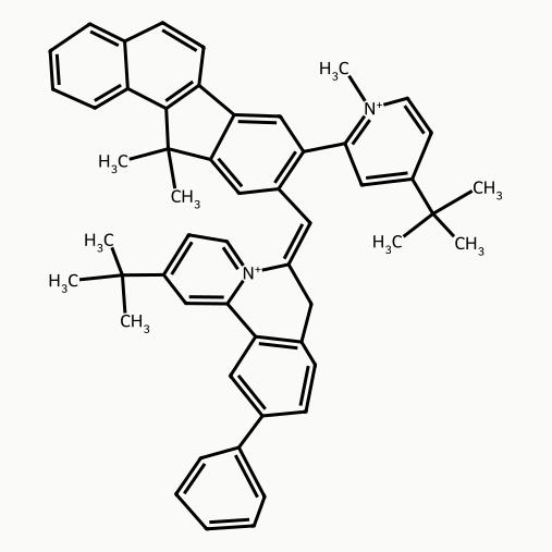 C[n+]1ccc(C(C)(C)C)cc1-c1cc2c(cc1/C=C1/Cc3ccc(-c4ccccc4)cc3-c3cc(C(C)(C)C)cc[n+]31)C(C)(C)c1c-2ccc2ccccc12